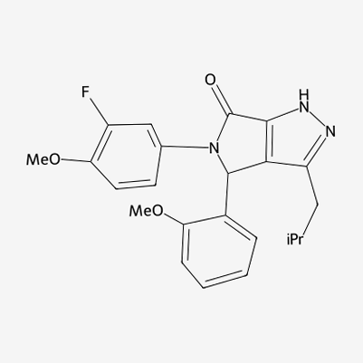 COc1ccc(N2C(=O)c3[nH]nc(CC(C)C)c3C2c2ccccc2OC)cc1F